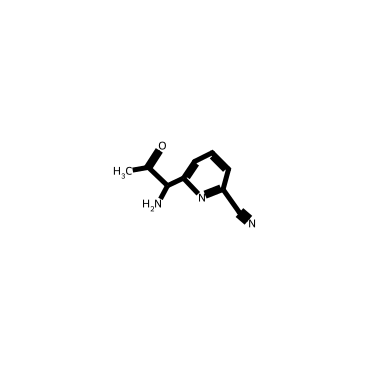 CC(=O)C(N)c1cccc(C#N)n1